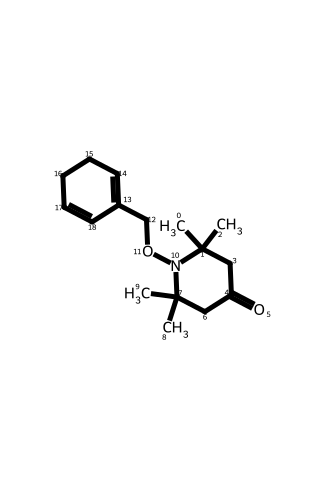 CC1(C)CC(=O)CC(C)(C)N1OCC1=CCCC=C1